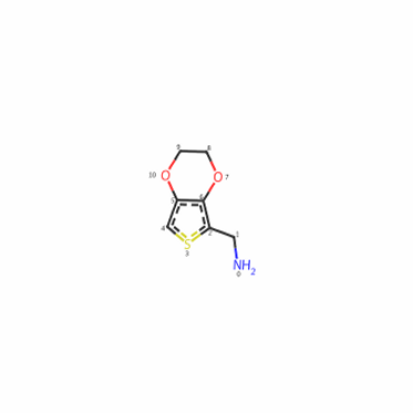 NCc1scc2c1OCCO2